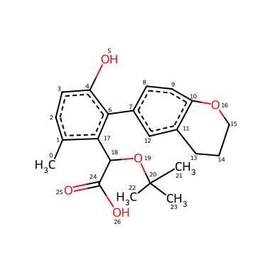 Cc1ccc(O)c(-c2ccc3c(c2)CCCO3)c1C(OC(C)(C)C)C(=O)O